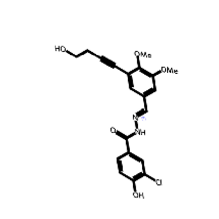 COc1cc(/C=N/NC(=O)c2ccc(O)c(Cl)c2)cc(C#CCCO)c1OC